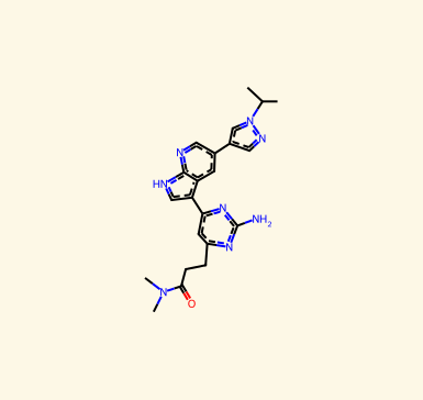 CC(C)n1cc(-c2cnc3[nH]cc(-c4cc(CCC(=O)N(C)C)nc(N)n4)c3c2)cn1